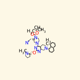 Cc1cccc2cccc(N3CCc4c(nc(OC[C@@H]5CCCN5C)nc4N4CCN(C(=O)OC(C)(C)C)[C@@H](CC#N)C4)C3)c12